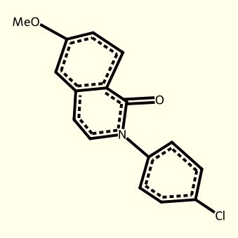 COc1ccc2c(=O)n(-c3ccc(Cl)cc3)ccc2c1